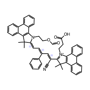 CC1(C)C(/C(C#N)=C/C(=C/C=C2\N(CCOC=O)c3c(c4ccccc4c4ccccc34)C2(C)C)c2ccccc2)=[N+](CCC(=O)O)c2c1c1ccccc1c1ccccc21